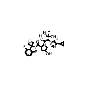 CC(C)(C)[C@@H](C(=O)N1CC(O)CC1C(=O)NC1(c2c(F)cccc2F)COC1)n1cc(C2CC2)nn1